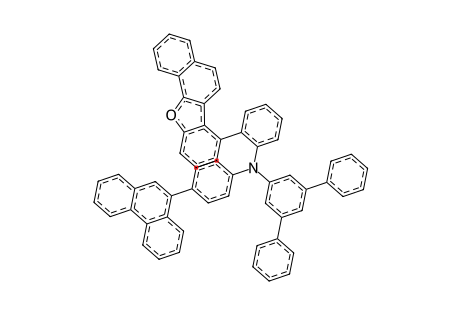 c1ccc(-c2cc(-c3ccccc3)cc(N(c3ccc(-c4cc5ccccc5c5ccccc45)cc3)c3ccccc3-c3cccc4oc5c6ccccc6ccc5c34)c2)cc1